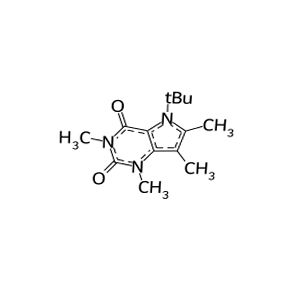 Cc1c(C)n(C(C)(C)C)c2c(=O)n(C)c(=O)n(C)c12